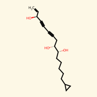 C=C[C@H](O)C#CC#CC[C@@H](O)[C@H](O)CCCCCC1CC1